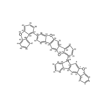 c1ccc2c(c1)oc1cc3c(cc12)c1ccccc1n3-c1cccc2c1oc1cc3c(cc12)oc1cc(-c2cccc4oc5ccccc5c24)ccc13